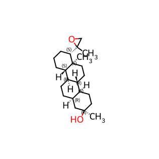 CC1([C@H]2CCC[C@H]3[C@@H]4CC[C@@H]5C[C@](C)(O)CC[C@@H]5[C@H]4CC[C@]23C)CO1